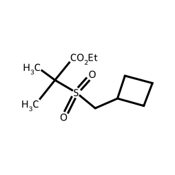 CCOC(=O)C(C)(C)S(=O)(=O)CC1CCC1